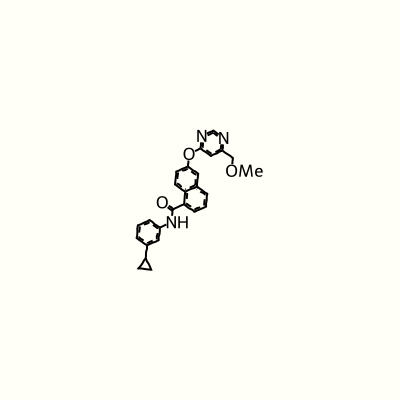 COCc1cc(Oc2ccc3c(C(=O)Nc4cccc(C5CC5)c4)cccc3c2)ncn1